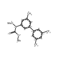 CON(C(=O)OC(C)(C)C)c1cc(C)cc(-c2cc(C(F)(F)F)cc(C(F)(F)F)c2)c1